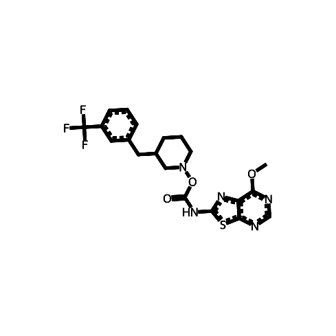 COc1ncnc2sc(NC(=O)ON3CCCC(Cc4cccc(C(F)(F)F)c4)C3)nc12